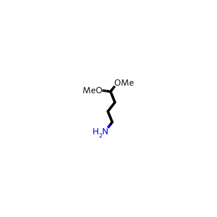 COC(CCCN)OC